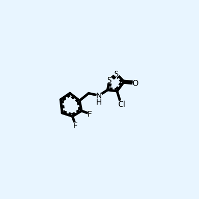 O=c1ssc(NCc2cccc(F)c2F)c1Cl